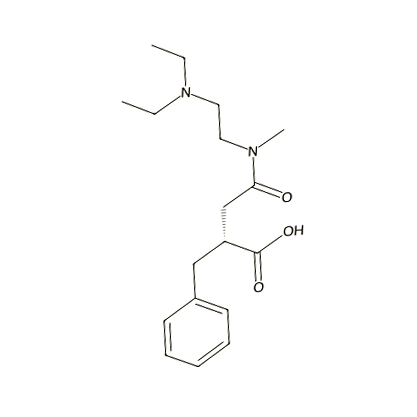 CCN(CC)CCN(C)C(=O)C[C@@H](Cc1ccccc1)C(=O)O